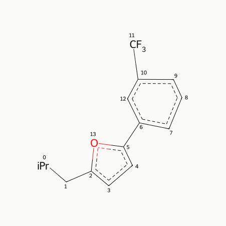 CC(C)Cc1ccc(-c2cccc(C(F)(F)F)c2)o1